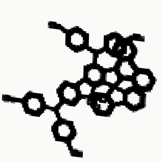 CC(C)(C)c1ccc(C(c2ccc(C(C)(C)C)cc2)c2ccc3c(c2)C(C)(C)c2c-3cc(N(c3ccc(C(C)(C)C)cc3)c3ccc(C(C)(C)C)cc3)c3c2C2(c4ccccc4-c4ccccc42)c2c-3c3ccccc3c3ccccc23)cc1